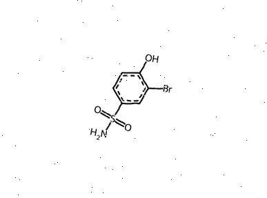 NS(=O)(=O)c1ccc(O)c(Br)c1